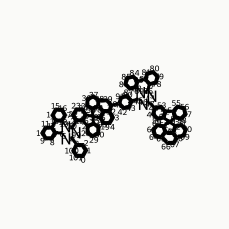 c1ccc(-c2nc(-c3ccccc3-c3ccccc3)nc(-c3cccc4c3-c3ccccc3C43c4cccc5cc(-c6ccc(-c7nc(-c8ccc9c(c8)-c8ccccc8C98c9cccc%10ccc%11cccc8c%11c9%10)nc(-c8ccccc8-c8ccccc8)n7)cc6)c6cccc3c6c45)n2)cc1